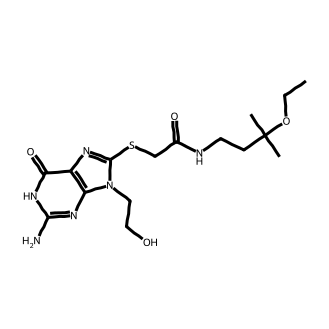 CCOC(C)(C)CCNC(=O)CSc1nc2c(=O)[nH]c(N)nc2n1CCO